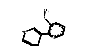 FC(F)(F)Sc1cccnc1C1=CNC=CC1